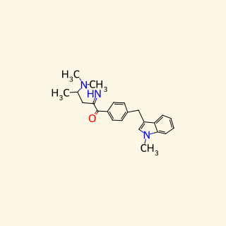 CC(CC(=N)C(=O)c1ccc(Cc2cn(C)c3ccccc23)cc1)N(C)C